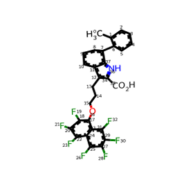 Cc1ccccc1-c1cccc2c(CCCOc3c(F)c(F)c(F)c4c(F)c(F)c(F)c(F)c34)c(C(=O)O)[nH]c12